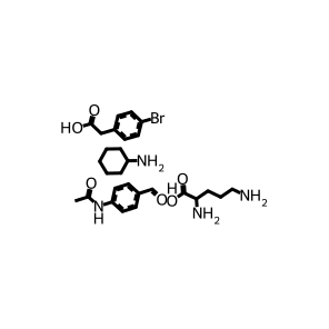 CC(=O)Nc1ccc(C=O)cc1.NC1CCCCC1.NCCCC(N)C(=O)O.O=C(O)Cc1ccc(Br)cc1